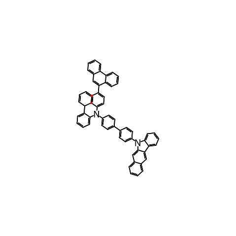 C1=CCC(c2ccccc2N(c2ccc(-c3ccc(-n4c5ccccc5c5cc6ccccc6cc54)cc3)cc2)c2ccc(-c3cc4ccccc4c4ccccc34)cc2)C=C1